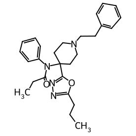 CCCc1nnc(C2(N(C(=O)CC)c3ccccc3)CCN(CCc3ccccc3)CC2)o1